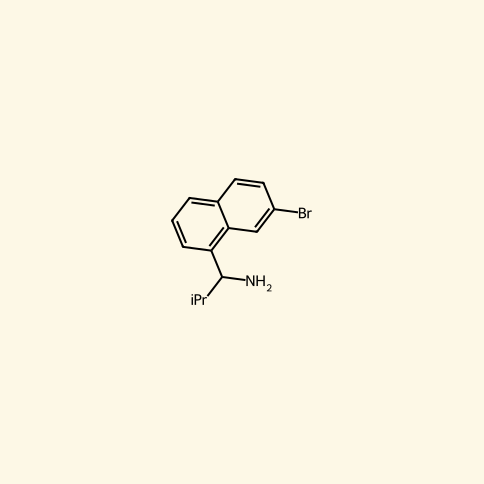 CC(C)C(N)c1cccc2ccc(Br)cc12